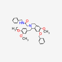 COc1ccc(CC2c3cc(OCc4ccccc4)c(OC)cc3CCN2CC(=O)NCc2ccccc2)cc1OC